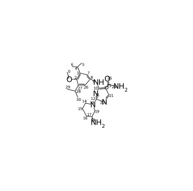 COc1c(C(C)C)cc(Nc2nc(N3CCC[C@H](N)C3)ncc2C(N)=O)cc1C(C)C